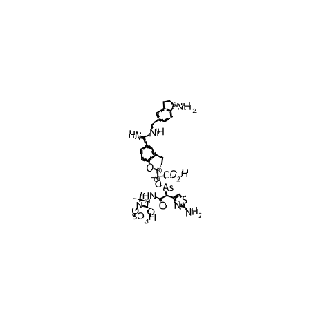 CC1(C)[C@H](NC(=O)C(=[As]O[C@](C)(C(=O)O)[C@H]2CCc3cc(C(=N)NCc4ccc5c(c4)CC[C@@H]5N)ccc3O2)c2csc(N)n2)C(=O)N1OS(=O)(=O)O